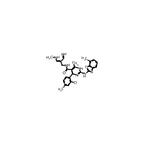 CN/C=C(\C=N)CNC(=O)C1=C(C)NC(Nc2nc3cccc(C)c3o2)=NC1c1ccc(C)cc1Cl